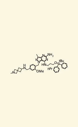 CCC[C@@H](CCO[Si](c1ccccc1)(c1ccccc1)C(C)(C)C)Nc1nc(N)nc2c(C)nn(Cc3ccc(CNC4CC5(C4)CN(C)C5)cc3OC)c12